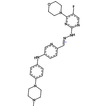 CN1CCN(c2ccc(Nc3ccc(/C=N/Nc4ncc(F)c(N5CCOCC5)n4)nc3)cc2)CC1